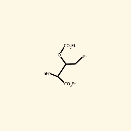 CCCC(C(=O)OCC)C(CC(C)C)OC(=O)OCC